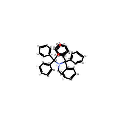 CCN(C(c1ccccc1)(c1ccccc1)c1ccccc1)C(c1ccccc1)(c1ccccc1)c1ccccc1